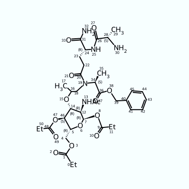 CCC(=O)OC[C@H]1O[C@H](OC(=O)CC)[C@H](NC(C)=O)[C@@H](OC(C)CN(C(=O)CC[C@@H](NC(=O)[C@H](C)N)C(N)=O)[C@@H](C)C(=O)OCc2ccccc2)[C@@H]1OC(=O)CC